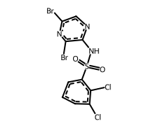 O=S(=O)(Nc1ncc(Br)nc1Br)c1cccc(Cl)c1Cl